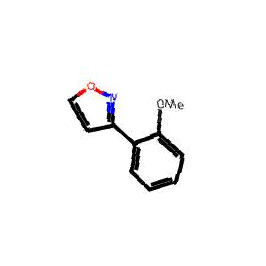 COc1ccccc1-c1[c]con1